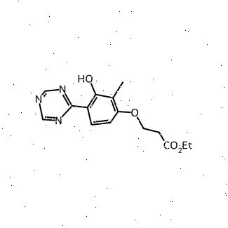 CCOC(=O)CCOc1ccc(-c2ncncn2)c(O)c1C